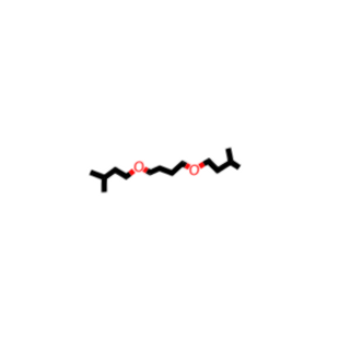 CC(C)CCOCCCCOCCC(C)C